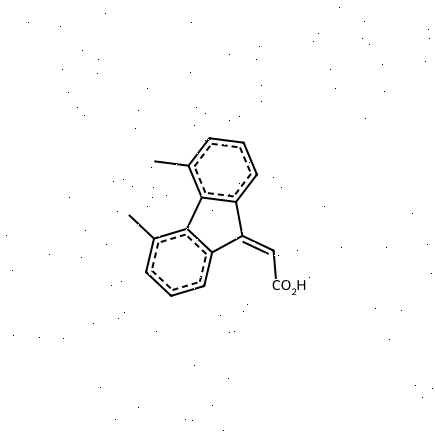 Cc1cccc2c1-c1c(C)cccc1C2=CC(=O)O